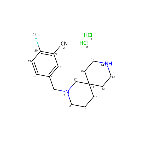 Cl.Cl.N#Cc1cc(CN2CCCC3(CCNCC3)C2)ccc1F